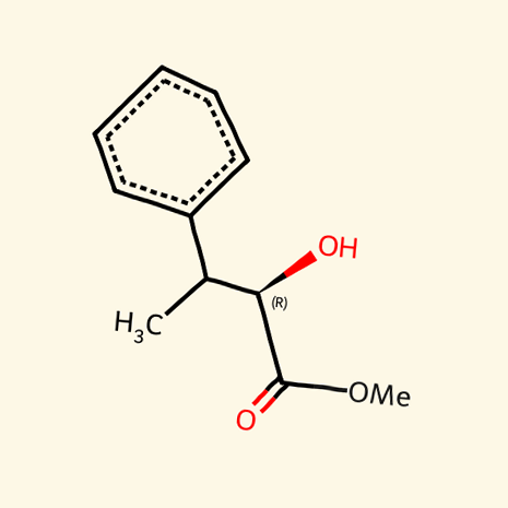 COC(=O)[C@H](O)C(C)c1ccccc1